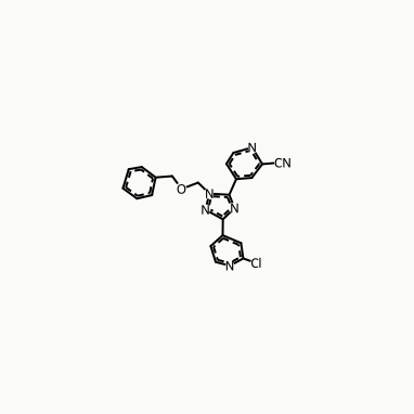 N#Cc1cc(-c2nc(-c3ccnc(Cl)c3)nn2COCc2ccccc2)ccn1